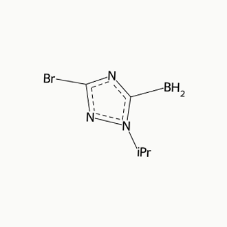 Bc1nc(Br)nn1C(C)C